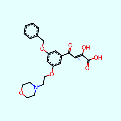 O=C(O)/C(O)=C/C(=O)c1cc(OCCN2CCOCC2)cc(OCc2ccccc2)c1